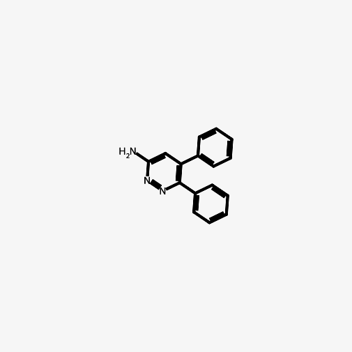 Nc1cc(-c2ccccc2)c(-c2ccccc2)nn1